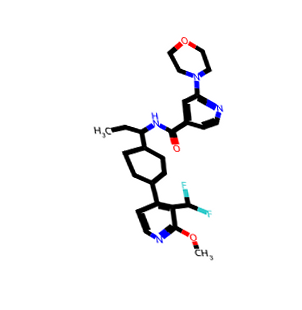 CCC(NC(=O)c1ccnc(N2CCOCC2)c1)C1CCC(c2ccnc(OC)c2C(F)F)CC1